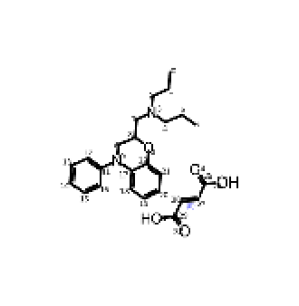 CCCN(CCC)CC1CN(c2ccccc2)c2ccccc2O1.O=C(O)/C=C/C(=O)O